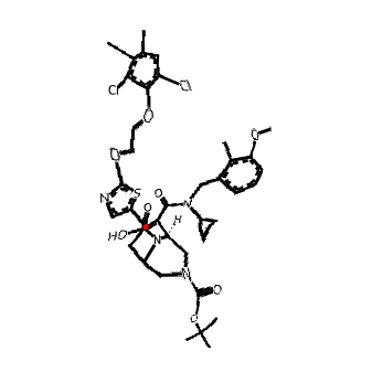 COc1cccc(CN(C(=O)C2=C(c3cnc(OCCOc4c(Cl)cc(C)c(C)c4Cl)s3)CC3CN(C(=O)OC(C)(C)C)C[C@H]2N3C(=O)O)C2CC2)c1C